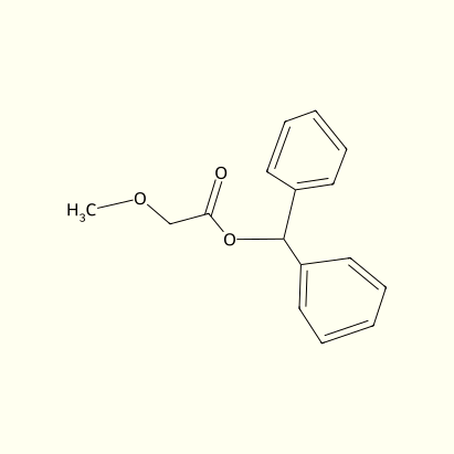 COCC(=O)OC(c1ccccc1)c1ccccc1